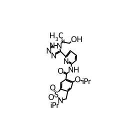 CC(C)Oc1cc2c(cc1C(=O)Nc1cccc(-c3nnnn3[C@H](C)CO)n1)S(=O)(=O)N(C(C)C)C2